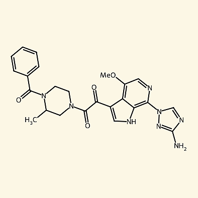 COc1cnc(-n2cnc(N)n2)c2[nH]cc(C(=O)C(=O)N3CCN(C(=O)c4ccccc4)C(C)C3)c12